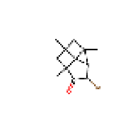 CC12CC3(C)C(=O)C(Br)C4C(C)(C1)C423